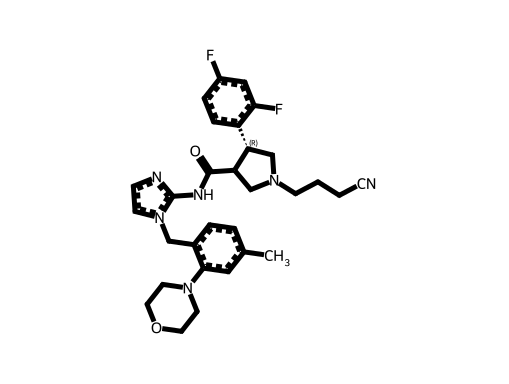 Cc1ccc(Cn2ccnc2NC(=O)C2CN(CCCC#N)C[C@H]2c2ccc(F)cc2F)c(N2CCOCC2)c1